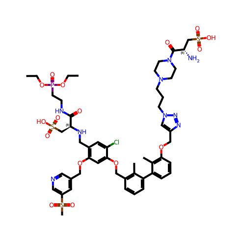 CCOP(=O)(CCNC(=O)[C@H](CS(=O)(=O)O)NCc1cc(Cl)c(OCc2cccc(-c3cccc(OCc4cn(CCCN5CCN(C(=O)[C@@H](N)CS(=O)(=O)O)CC5)nn4)c3C)c2C)cc1OCc1cncc(S(C)(=O)=O)c1)OCC